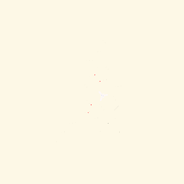 CC1(C)c2ccccc2-c2c(N(c3ccccc3-c3ccc(-c4ccc5ccccc5c4)cc3)c3ccccc3-c3ccc(-c4cccc5ccccc45)cc3)cccc21